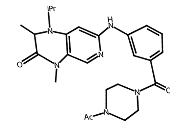 CC(=O)N1CCN(C(=O)c2cccc(Nc3cc4c(cn3)N(C)C(=O)C(C)N4C(C)C)c2)CC1